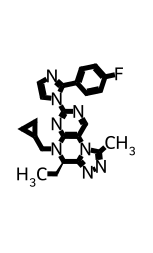 CC[C@@H]1c2nnc(C)n2-c2cnc(-n3ccnc3-c3ccc(F)cc3)nc2N1CC1CC1